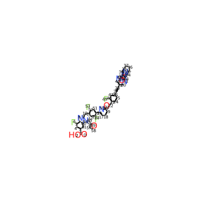 O=C(O)c1cc(F)c2nc(Cc3cc(F)c(-c4cccc(OCc5ccc(C#Cc6cnc(N7CC8CCC(C7)N8C7COC7)nc6)cc5F)n4)cc3F)n(C[C@@H]3CCO3)c2c1